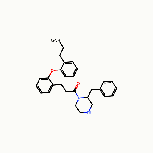 CC(=O)NCCc1ccccc1Oc1ccccc1CCC(=O)N1CCNCC1Cc1ccccc1